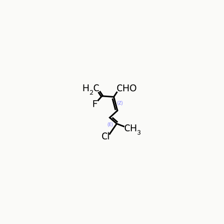 C=C(F)/C(C=O)=C\C=C(/C)Cl